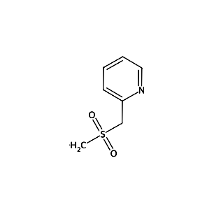 [CH2]S(=O)(=O)Cc1ccccn1